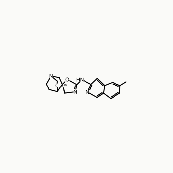 Cc1ccc2cnc(NC3=NC[C@@]4(CN5CCC4CC5)O3)cc2c1